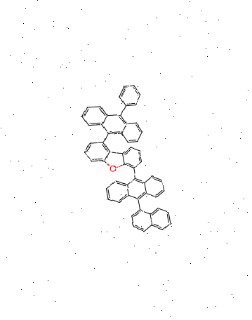 c1ccc(-c2c3ccccc3c(-c3cccc4oc5c(-c6c7ccccc7c(-c7cccc8ccccc78)c7ccccc67)cccc5c34)c3ccccc23)cc1